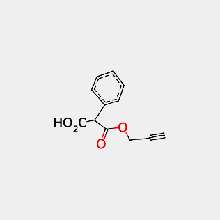 C#CCOC(=O)C(C(=O)O)c1ccccc1